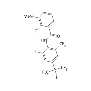 CNc1cccc(C(=O)Nc2c(I)cc(C(F)(C(F)(F)F)C(F)(F)F)cc2C(F)(F)F)c1F